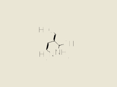 C/C=C(\C=C/N)C(C)N